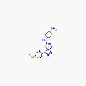 COc1ccc(-n2nnc3cnc(N[C@H]4CC[C@@H](N)CC4)nc32)cc1